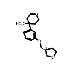 O=C(O)C1(c2cccc(OC[C@@H]3CCOC3)c2)CCOCC1